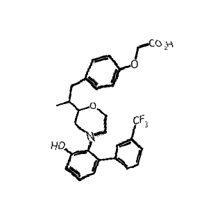 CC(Cc1ccc(OCC(=O)O)cc1)C1CN(c2c(O)cccc2-c2cccc(C(F)(F)F)c2)CCO1